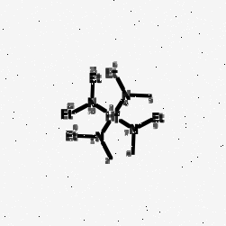 CC[N](C)[Hf]([N](C)CC)([N](C)CC)[N](CC)CC